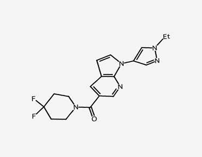 CCn1cc(-n2ccc3cc(C(=O)N4CCC(F)(F)CC4)cnc32)cn1